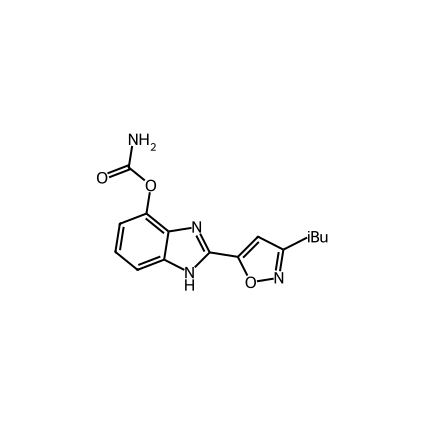 CCC(C)c1cc(-c2nc3c(OC(N)=O)cccc3[nH]2)on1